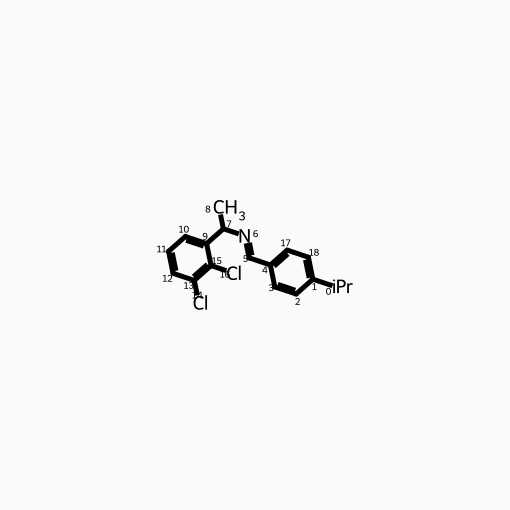 CC(C)c1ccc(C=NC(C)c2cccc(Cl)c2Cl)cc1